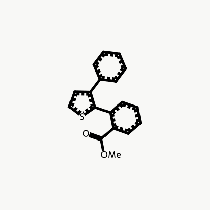 COC(=O)c1ccccc1-c1sccc1-c1ccccc1